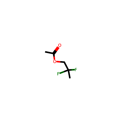 CC(=O)OCC(C)(F)F